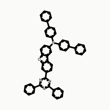 c1ccc(-c2ccc(N(c3ccc(-c4ccccc4)cc3)c3ccc4oc5cc(-c6nc(-c7ccccc7)nc(-c7ccccc7)n6)ccc5c4c3)cc2)cc1